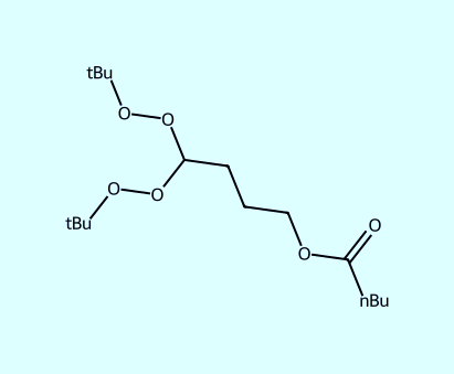 CCCCC(=O)OCCCC(OOC(C)(C)C)OOC(C)(C)C